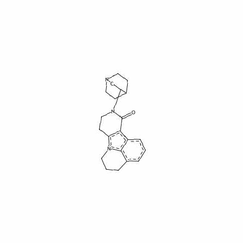 O=C1c2c(n3c4c(cccc24)CCC3)CCN1C1CN2CCC1CC2